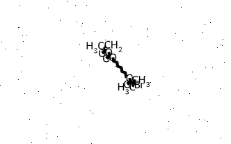 C=C(C)C(=O)OC(=O)OCCCCCCCOC(=O)C(C)(C)Br